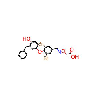 O=C(O)CON=Cc1cc(Br)c(Oc2ccc(O)c(Cc3ccccc3)c2)c(Br)c1